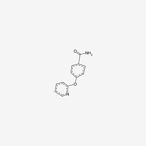 NC(=O)c1ccc(Oc2cc[c]cn2)cc1